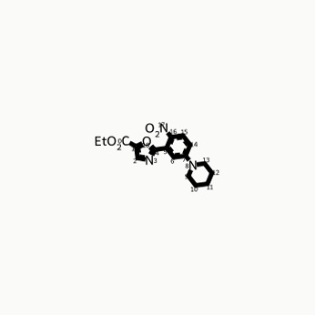 CCOC(=O)c1cnc(-c2cc(N3CCCCC3)ccc2[N+](=O)[O-])o1